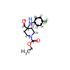 CCOC(=O)N1CCC(C=O)(Nc2ccc(F)cc2)CC1